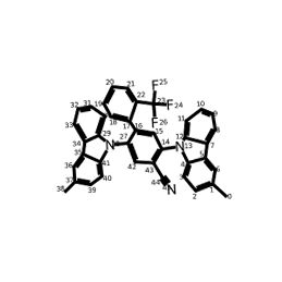 Cc1ccc2c(c1)c1ccccc1n2-c1cc(-c2ccccc2C(F)(F)F)c(-n2c3ccccc3c3cc(C)ccc32)cc1C#N